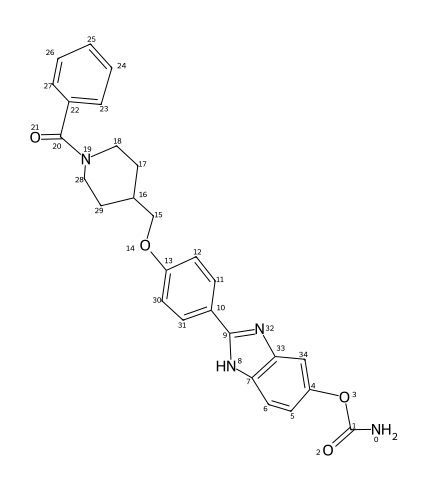 NC(=O)Oc1ccc2[nH]c(-c3ccc(OCC4CCN(C(=O)c5ccccc5)CC4)cc3)nc2c1